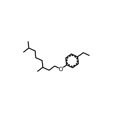 CCc1ccc(OCCC(C)CCCC(C)C)cc1